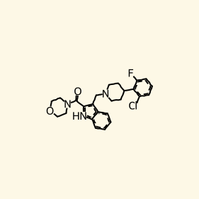 O=C(c1[nH]c2ccccc2c1CN1CCC(c2c(F)cccc2Cl)CC1)N1CCOCC1